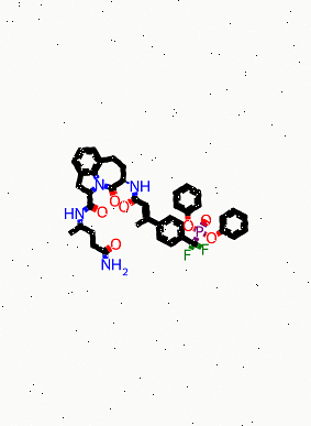 C/C(=C\C(=O)N[C@H]1CCc2cccc3c2N(C1=O)C(C(=O)NC(C)CCC(N)=O)C3)c1ccc(C(F)(F)P(=O)(Oc2ccccc2)Oc2ccccc2)cc1